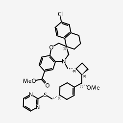 COC(=O)c1ccc2c(c1)N(C[C@@H]1CC[C@H]1[C@H](OC)C1=CC[C@H](CSc3ncccn3)CC1)C[C@@]1(CCCc3cc(Cl)ccc31)CO2